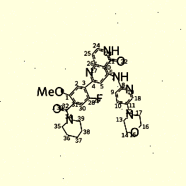 COc1cc(-c2cc(Nc3ccc(N4CCOCC4)cn3)c3c(=O)[nH]ccc3n2)c(F)cc1C(=O)N1CCCCC1